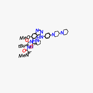 CN[C@@H](C)C(=O)N[C@H](C(=O)N(C(=O)[C@@H]1CCCN1)c1cc2c(Nc3ccc(N4CCC(N5CCCCC5)CC4)cc3)ncnc2cc1OC)C(C)(C)C